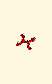 Cc1ccc2sc3ccc(-c4ccc5c(c4)c4cc(-c6ccc7c(c6)c6cc(-c8ccc9sc%10ccc(C)cc%10c9c8)ccc6n7-c6ccc(-c7ccc8c(c7)[Si](C)(C)c7ccccc7-8)cc6)ccc4n5-c4ccc(-c5ccc6c(c5)[Si](C)(C)c5ccccc5-6)cc4)cc3c2c1